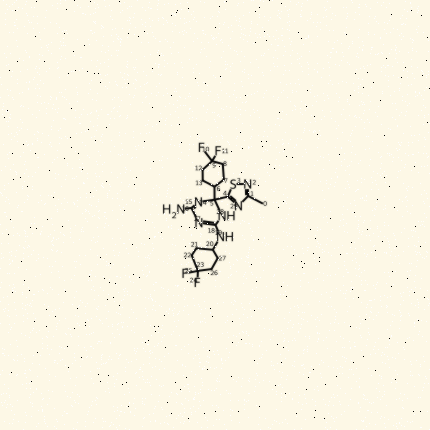 Cc1nsc(C2(C3CCC(F)(F)CC3)N=C(N)N=C(NC3CCC(F)(F)CC3)N2)n1